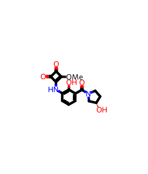 COc1c(Nc2cccc(C(=O)N3CC[C@H](O)C3)c2O)c(=O)c1=O